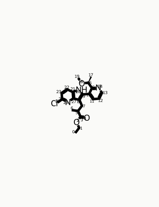 CCOC(=O)C(C)Cc1c(-c2cccnc2[C@H](C)OC)[nH]c2ccc(Cl)nc12